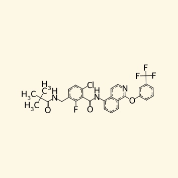 CC(C)(C)C(=O)NCc1ccc(Cl)c(C(=O)Nc2cccc3c(Oc4cccc(C(F)(F)F)c4)nccc23)c1F